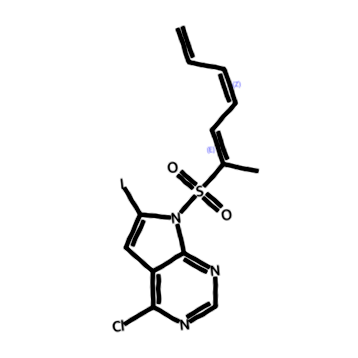 C=C/C=C\C=C(/C)S(=O)(=O)n1c(I)cc2c(Cl)ncnc21